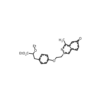 CCOC(=O)C(Cc1ccc(OCCn2cc3ccc(=O)cc-3c(C)n2)cc1)OCC